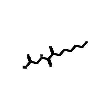 CCCCCCC(=O)C(=O)NCC(=O)O